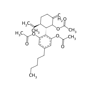 C=C1CC[C@H](C(=C)C)[C@@H](c2c(OC(C)=O)cc(CCCCC)cc2OC(C)=O)C1OC(C)=O